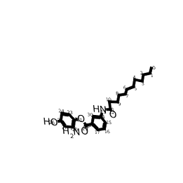 CCCCCCCCCCCC(=O)Nc1cccc(C(=O)Oc2ccc(O)cc2N)c1